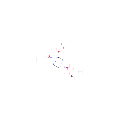 COC(=O)[C@@H]1CN(C(=O)OC(C)(C)C)CCN1C(C)=O